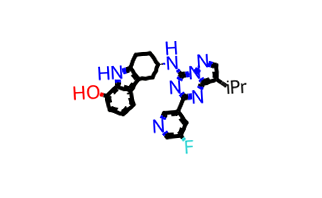 CC(C)c1cnn2c(N[C@H]3CCc4[nH]c5c(O)cccc5c4C3)nc(-c3cncc(F)c3)nc12